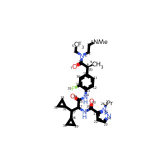 CNCCN(CC(F)(F)F)C(=O)[C@@H](C)c1ccc(NC(=O)C(NC(=O)c2ccnn2C(C)C)C(C2CC2)C2CC2)c(F)c1